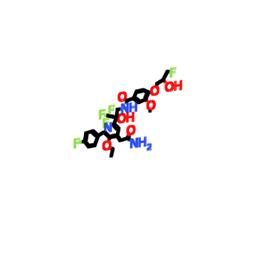 CCOc1c(CC(N)=O)cc([C@@](O)(CNC(=O)c2ccc(OC[C@H](O)CF)c(OC)c2)C(F)(F)F)nc1-c1ccc(F)cc1